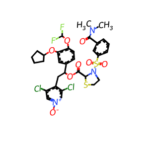 CN(C)C(=O)c1cccc(S(=O)(=O)N2CCSC2C(=O)OC(Cc2c(Cl)c[n+]([O-])cc2Cl)c2ccc(OC(F)F)c(OC3CCCC3)c2)c1